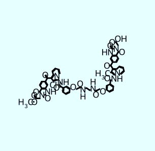 COC(=O)Cn1c(=O)[nH]c2cc(C(=O)c3c(C)c(NC(=O)c4cccc(OCC(=O)NCCNC(=O)COc5cccc(C(=O)Nc6c(C)c(C(=O)c7ccc8c(=O)n(CC(=O)O)c(=O)[nH]c8c7)c7ccccn67)c5)c4)n4ccccc34)ccc2c1=O